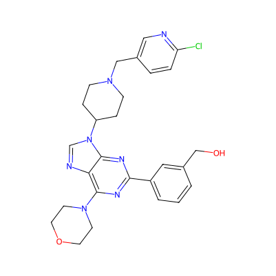 OCc1cccc(-c2nc(N3CCOCC3)c3ncn(C4CCN(Cc5ccc(Cl)nc5)CC4)c3n2)c1